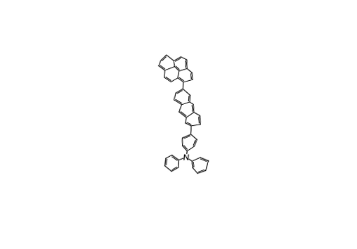 c1ccc(N(c2ccccc2)c2ccc(-c3ccc4cc5cc(-c6ccc7ccc8cccc9ccc6c7c89)ccc5cc4c3)cc2)cc1